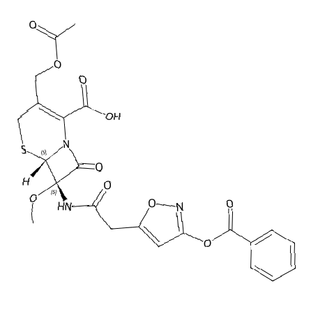 CO[C@@]1(NC(=O)Cc2cc(OC(=O)c3ccccc3)no2)C(=O)N2C(C(=O)O)=C(COC(C)=O)CS[C@H]21